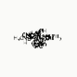 COc1cccc(C[C@@H]([C@H](O)CN(CC(C)C)S(=O)(=O)c2ccc3nc(NC(C)C)oc3c2)N(C(=O)O)[C@H]2CCO[C@H]3OCC[C@H]32)c1